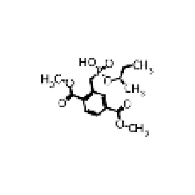 CCC(C)OP(=O)(O)Cc1cc(C(=O)OC)ccc1C(=O)OC